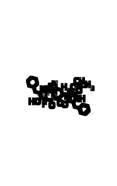 CC(C)(C)OC(=O)NC(Cc1ccccc1)C(=O)NC(Cc1c[nH]cn1)C(=O)NC(=O)C(F)(F)[C@H](O)[C@@H](N)CC1CCCCC1